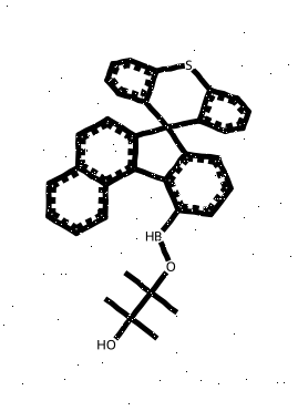 CC(C)(O)C(C)(C)OBc1cccc2c1-c1c(ccc3ccccc13)C21c2ccccc2Sc2ccccc21